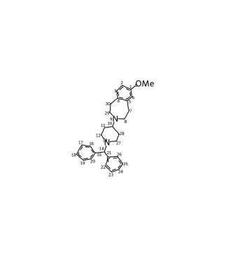 COc1ccc2c(c1)CCN(C1CCN(C(c3ccccc3)c3ccccc3)CC1)CC2